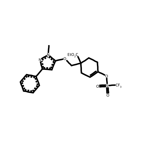 CCOC(=O)C1(COc2cc(-c3ccccc3)nn2C)CC=C(OS(=O)(=O)C(F)(F)F)CC1